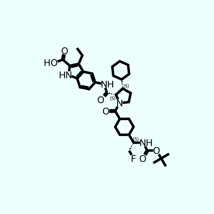 CCc1c(C(=O)O)[nH]c2ccc(NC(=O)[C@@H]3[C@H](C4CCCCC4)CCN3C(=O)C3CCC([C@@H](CF)NC(=O)OC(C)(C)C)CC3)cc12